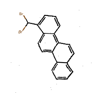 BrC(Br)c1cccc2c1ccc1c3ccccc3ccc21